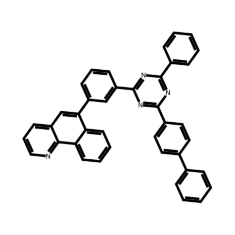 c1ccc(-c2ccc(-c3nc(-c4ccccc4)nc(-c4cccc(-c5cc6cccnc6c6ccccc56)c4)n3)cc2)cc1